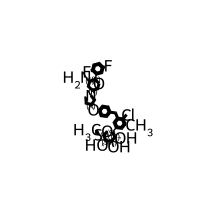 CS[C@H]1O[C@@H](c2cc(C)c(Cl)c(Cc3ccc(O[C@@H]4CCN([C@H]5CO[C@H](c6cc(F)ccc6F)[C@@H](N)C5)C4)cc3)c2)[C@H](O)[C@@H](O)[C@@H]1O